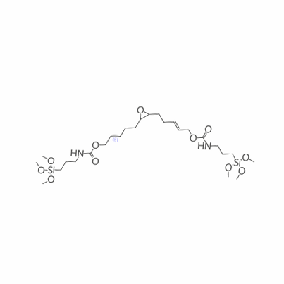 CO[Si](CCCNC(=O)OCC=CCCC1OC1CC/C=C/COC(=O)NCCC[Si](OC)(OC)OC)(OC)OC